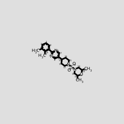 Cc1cccc(-c2ncc(C3CCN(S(=O)(=O)N4CC(C)OC(C)C4)CC3)cn2)c1C